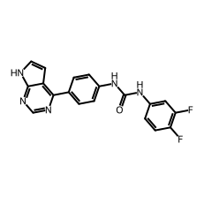 O=C(Nc1ccc(-c2ncnc3[nH]ccc23)cc1)Nc1ccc(F)c(F)c1